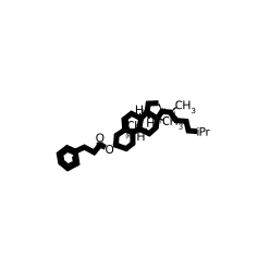 CC(C)CCC[C@@H](C)[C@H]1CC[C@H]2[C@@H]3CC=C4C[C@@H](OC(=O)CCc5ccccc5)CC[C@]4(C)[C@H]3CC[C@]12C